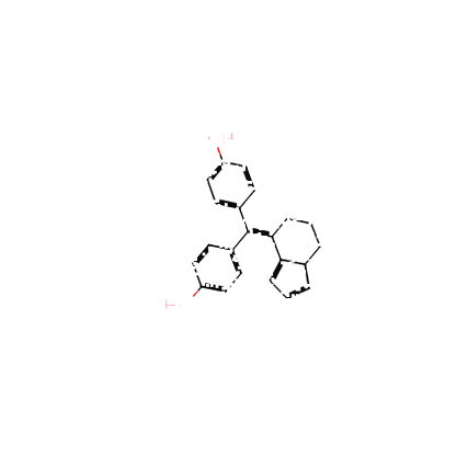 Oc1ccc(C(=C2CCCC3C=CC=C23)c2ccc(O)cc2)cc1